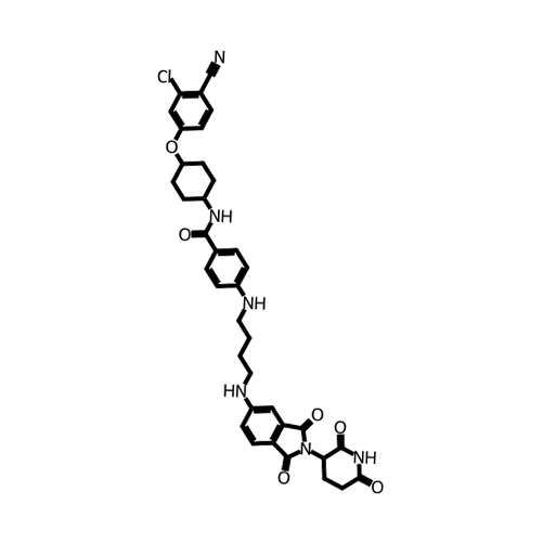 N#Cc1ccc(OC2CCC(NC(=O)c3ccc(NCCCCNc4ccc5c(c4)C(=O)N(C4CCC(=O)NC4=O)C5=O)cc3)CC2)cc1Cl